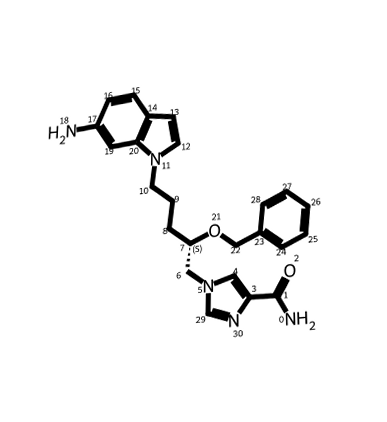 NC(=O)c1cn(C[C@H](CCCn2ccc3ccc(N)cc32)OCc2ccccc2)cn1